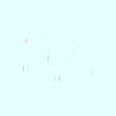 C[C@H]1CC[C@H]2C[C@H](CO)C[C@H](OC(=O)C3CCCCC3)[C@@H]2[C@H]1CC[C@@H]1C[C@@H](O)CC(=O)O1